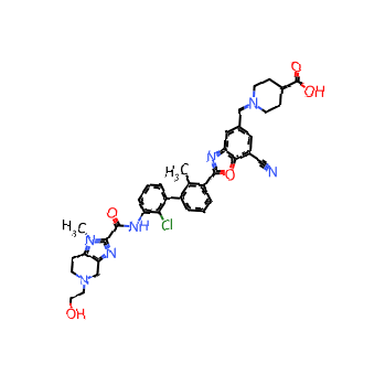 Cc1c(-c2nc3cc(CN4CCC(C(=O)O)CC4)cc(C#N)c3o2)cccc1-c1cccc(NC(=O)c2nc3c(n2C)CCN(CCO)C3)c1Cl